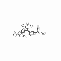 CC1(C)Cc2c(-c3ccnc(NC=O)c3)cc(C(N)=O)n2C1